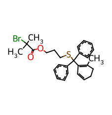 CC1=C(C(SCCCOC(=O)C(C)(C)Br)(c2ccccc2)c2ccccc2)C=CCC1